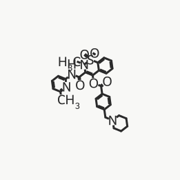 Cc1cccc(NC(=O)C2=C(OC(=O)c3ccc(CN4CCCCC4)cc3)c3ccccc3S(=O)(=O)N2C)n1